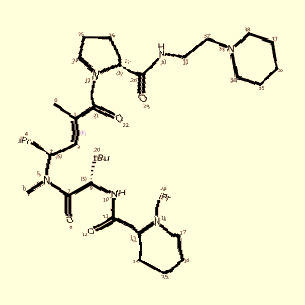 C/C(=C\[C@H](C(C)C)N(C)C(=O)[C@@H](NC(=O)C1CCCCN1C(C)C)C(C)(C)C)C(=O)N1CCC[C@H]1C(=O)NCCN1CCCCC1